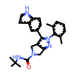 Cc1cccc(C)c1-n1nc2c(c1-c1ccc3[nH]ccc3c1)CN(C(=O)NC(C)(C)C)C2